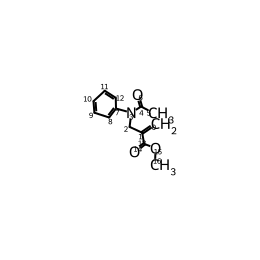 C=C(CN(C(C)=O)c1ccccc1)C(=O)OC